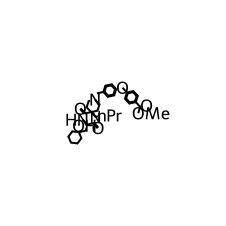 CCCN1C(=O)[C@@H](CC2(O)CCCCC2)NC(=O)C12CCN(Cc1ccc(Oc3ccc(C(=O)OC)cc3)cc1)CC2